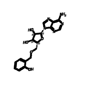 Nc1ncnc2c1ncn2[C@@H]1O[C@H](COCc2ccccc2O)[C@@H](O)[C@H]1O